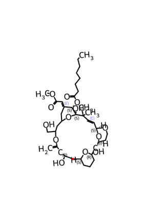 C=C1C[C@H](O)C[C@@H]2CCC[C@](O)(C[C@@H]3CCO[C@H](/C=C/C(C)(C)[C@]4(O)OC(C/C(=C\C(=O)OC)[C@@H]4OC(=O)CCCCCCC)CC(CO)O1)O3)O2